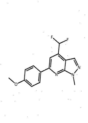 COc1ccc(-c2cc(C(F)F)c3cnn(C)c3n2)cc1